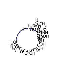 C[C@@H]1OC(=O)CC(O)CC(O)CCC(O)C(O)CC(O)CC2(O)C[C@H](O)C(C(=O)NC3CCC3)[C@H](CC(O[C@@H]3O[C@H](C)C(O)[C@H](N)C3O)/C=C/C=C/C=C/C=C/C=C/C=C/C=C/[C@H](C)C(O)[C@H]1C)O2